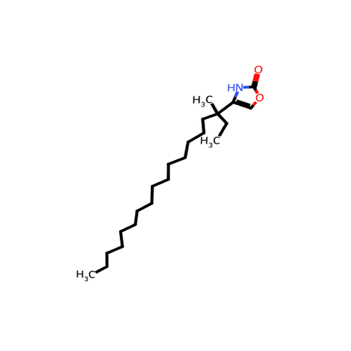 CCCCCCCCCCCCCCCC(C)(CC)c1coc(=O)[nH]1